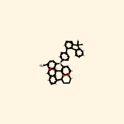 CC(C)(C)c1ccc(N(c2ccc(-c3cccc4c3-c3ccccc3C4(C)C)cc2)c2ccccc2-c2cccc3cccc(C4CCCCC4)c23)cc1